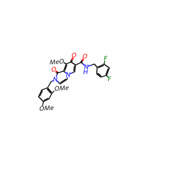 COc1ccc(Cn2ccn3cc(C(=O)NCc4ccc(F)cc4F)c(=O)c(OC)c3c2=O)c(OC)c1